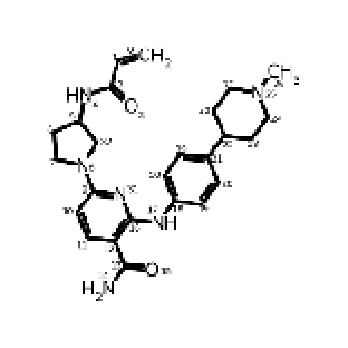 C=CC(=O)NC1CCN(c2ccc(C(N)=O)c(Nc3ccc(C4CCN(C)CC4)cc3)n2)C1